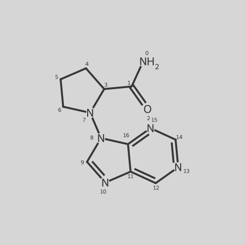 NC(=O)C1CCCN1n1cnc2cncnc21